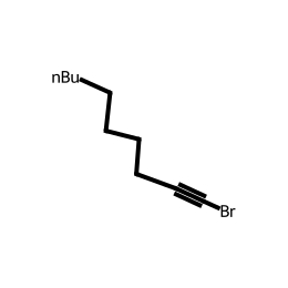 CCCCCCCCC#CBr